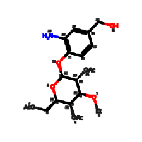 CCO[C@H]1[C@@H](OC(C)=O)[C@@H](COC(C)=O)O[C@@H](Oc2ccc(CO)cc2N)[C@@H]1OC(C)=O